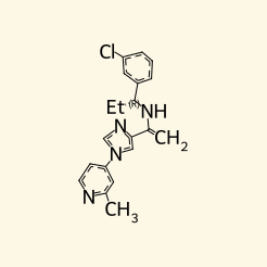 C=C(N[C@H](CC)c1cccc(Cl)c1)c1cn(-c2ccnc(C)c2)cn1